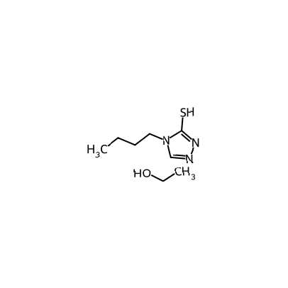 CCCCn1cnnc1S.CCO